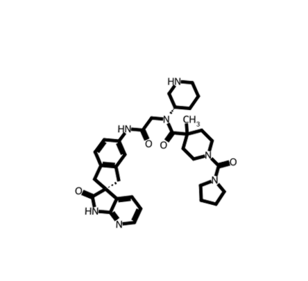 CC1(C(=O)N(CC(=O)Nc2ccc3c(c2)C[C@@]2(C3)C(=O)Nc3ncccc32)[C@H]2CCCNC2)CCN(C(=O)N2CCCC2)CC1